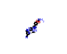 CC(C)Nc1cc(-n2ncc3cc(C#N)cnc32)ncc1-n1cc(C2CCC(OC(N)=O)CC2)nn1